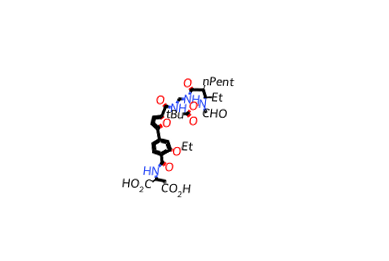 CCCCC[C@@H](C(=O)NCNC(=O)c1ccc(-c2ccc(C(=O)N[C@@H](CC(=O)O)C(=O)O)c(OCC)c2)o1)[C@@H](CC)N(C=O)OC(=O)C(C)(C)C